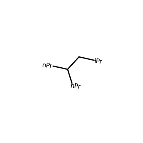 C[CH]CC(CCC)CC(C)C